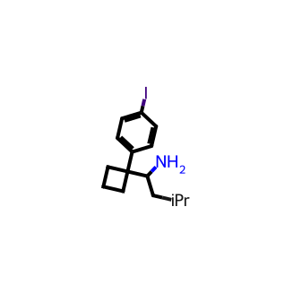 CC(C)CC(N)C1(c2ccc(I)cc2)CCC1